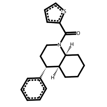 O=C(c1cccs1)N1CC[C@@H](c2ccccc2)[C@@H]2CCCC[C@@H]21